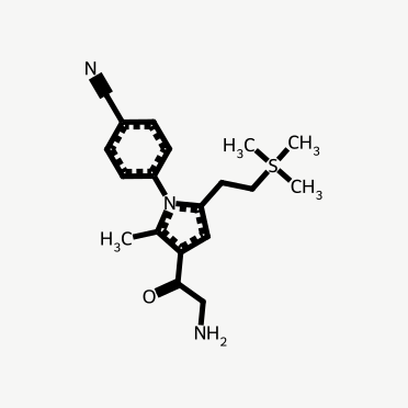 Cc1c(C(=O)CN)cc(CCS(C)(C)C)n1-c1ccc(C#N)cc1